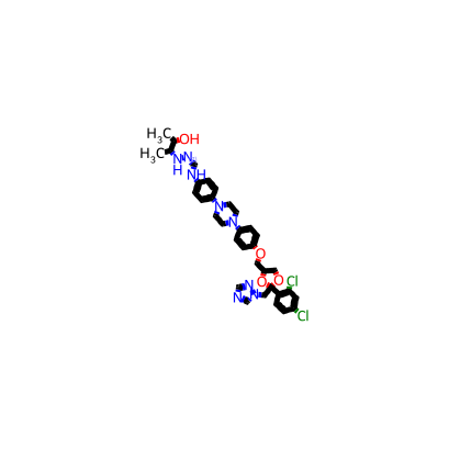 CC(O)C(C)N/N=C\Nc1ccc(N2CCN(c3ccc(OCC4COC(Cn5cncn5)(c5ccc(Cl)cc5Cl)O4)cc3)CC2)cc1